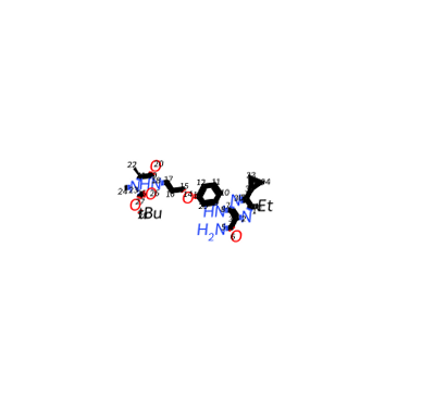 CCc1nc(C(N)=O)c(Nc2cccc(OCCCNC(=O)[C@H](C)N(C)C(=O)OC(C)(C)C)c2)nc1C1CC1